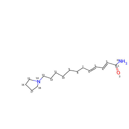 NC(=O)/C=C/C=C/CCCCCCCN1CCCC1